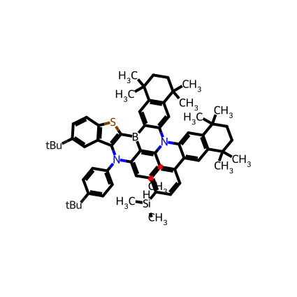 Cc1cc2c3c(c1)N(c1ccc(C(C)(C)C)cc1)c1c(sc4ccc(C(C)(C)C)cc14)B3c1cc3c(cc1N2c1cc2c(cc1-c1ccc([SiH](C)C)cc1)C(C)(C)CCC2(C)C)C(C)(C)CCC3(C)C